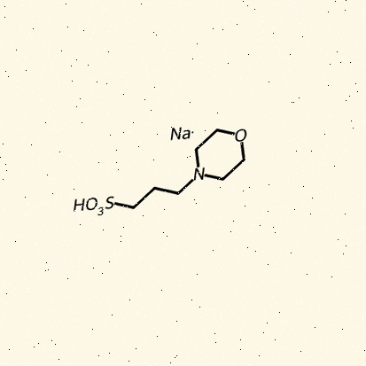 O=S(=O)(O)CCCN1CCOCC1.[Na]